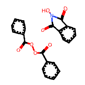 O=C(OOC(=O)c1ccccc1)c1ccccc1.O=C1c2ccccc2C(=O)N1O